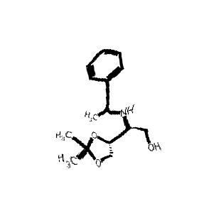 CC(N[C@@H](CO)[C@@H]1COC(C)(C)O1)c1ccccc1